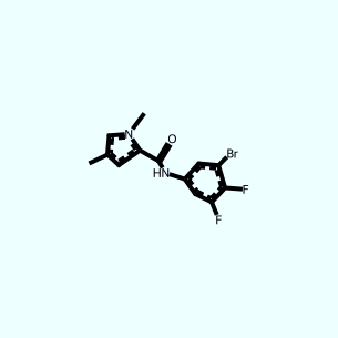 Cc1cc(C(=O)Nc2cc(F)c(F)c(Br)c2)n(C)c1